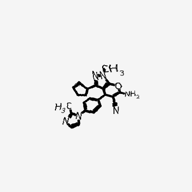 Cc1nccn1-c1ccc(C2C(C#N)=C(N)Oc3c2c(C2CCCC2)nn3C)cc1